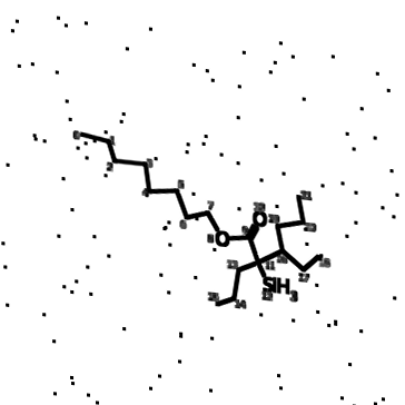 CCCCCCCCOC(=O)C([SiH3])(CCC)C(CC)CCC